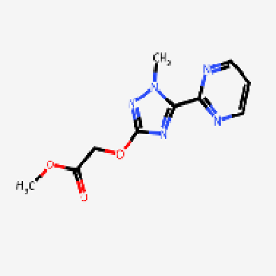 COC(=O)COc1nc(-c2ncccn2)n(C)n1